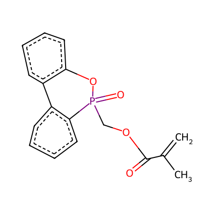 C=C(C)C(=O)OCP1(=O)Oc2ccccc2-c2ccccc21